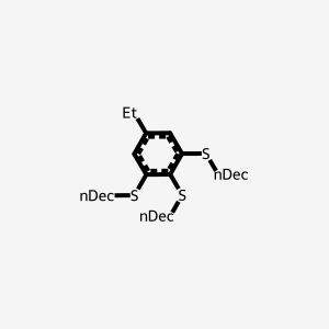 [CH2]Cc1cc(SCCCCCCCCCC)c(SCCCCCCCCCC)c(SCCCCCCCCCC)c1